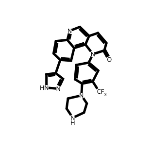 O=c1ccc2cnc3ccc(-c4cn[nH]c4)cc3c2n1-c1ccc(N2CCNCC2)c(C(F)(F)F)c1